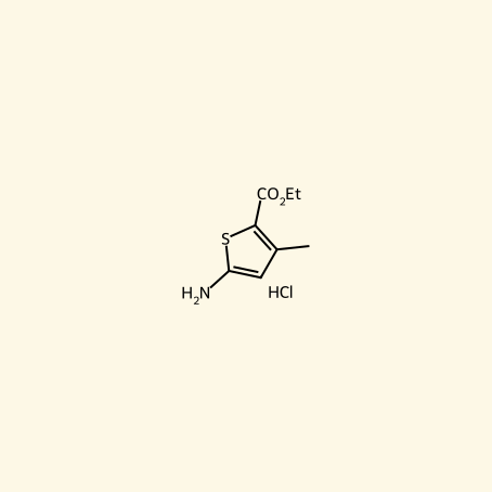 CCOC(=O)c1sc(N)cc1C.Cl